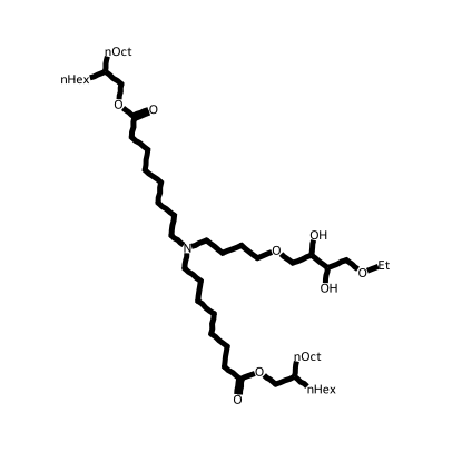 CCCCCCCCC(CCCCCC)COC(=O)CCCCCCCN(CCCCCCCC(=O)OCC(CCCCCC)CCCCCCCC)CCCCOCC(O)C(O)COCC